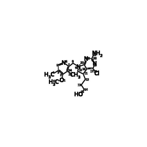 COc1c(C)cnc(CN2CC(CCCO)c3c(Cl)nc(N)nc32)c1C